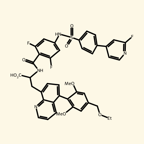 CCOCc1cc(OC)c(-c2ccc(CC(NC(=O)c3c(F)cc(NS(=O)(=O)c4ccc(-c5ccnc(F)c5)cc4)cc3F)C(=O)O)c3ncccc23)c(OC)c1